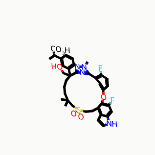 CC(C(=O)O)c1cccc(C2(CO)CCCC(C)(C)CS(=O)(=O)CCc3c(c(F)cc4[nH]ccc34)Oc3ccc(F)c(c3)-c3nc2nn3C)c1